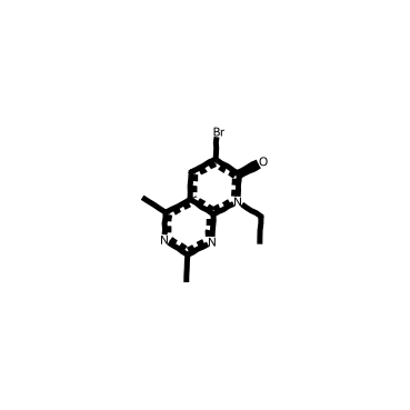 CCn1c(=O)c(Br)cc2c(C)nc(C)nc21